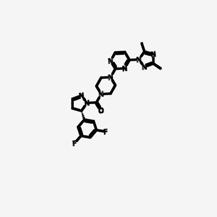 Cc1nc(C)n(-c2ccnc(N3CCN(C(=O)N4N=CC[C@H]4c4cc(F)cc(F)c4)CC3)n2)n1